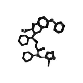 Cc1oncc1CN(C(=O)CC[C@@H](C1CCCCC1)N1Cc2cc(Oc3ccccc3)ccc2N=C1N)C1CCCCC1